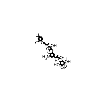 CC(=Cc1ccc(O[C@@H]2O[C@H](C(C)=CCOc3ccc(Cl)cc3Cl)[C@@H](O)[C@H]2F)c(N)c1)C(=O)N[C@@H]1[C@H](O)[C@@H](O)[C@H]2OCO[C@H]2[C@@H]1O